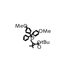 COc1ccc(C(OCC2C(C(=O)OC(C)(C)C)C2(C)C)(c2ccccc2)c2ccc(OC)cc2)cc1